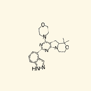 CC1(C)OCCN2c3nc(-c4cccc5[nH]ncc45)nc(N4CCOCC4)c3CC21